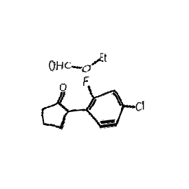 CCOC=O.O=C1CCCC1c1ccc(Cl)cc1F